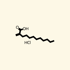 C=C(CCCCCCCCCC)C(=O)O.Cl